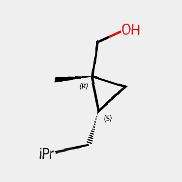 CC(C)C[C@H]1C[C@@]1(C)CO